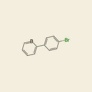 Brc1ccc(-c2bcccc2)cc1